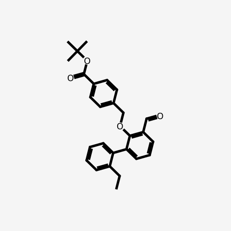 CCc1ccccc1-c1cccc(C=O)c1OCc1ccc(C(=O)OC(C)(C)C)cc1